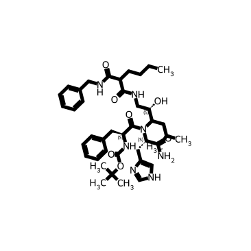 CCCCC(C(=O)NCc1ccccc1)C(=O)NC[C@H](O)C(CC(C)C)N(C(=O)[C@H](Cc1ccccc1)NC(=O)OC(C)(C)C)[C@@H](Cc1c[nH]cn1)C(N)=O